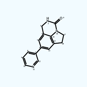 O=C1NCc2cc(-c3cccnc3)cc3c2N1CC3